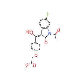 COC(=O)COc1ccc(/C(O)=C2\C(=O)N(C(C)=O)c3cc(F)ccc32)cc1